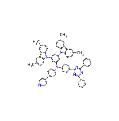 Cc1ccc2c(c1)c1cc(C)ccc1n2-c1cc(N(c2ccc(-c3ccncc3)cc2)c2ccc(-c3nc(-c4ccccc4)nc(-c4ccccc4)n3)cc2)cc(-n2c3ccc(C)cc3c3cc(C)ccc32)c1